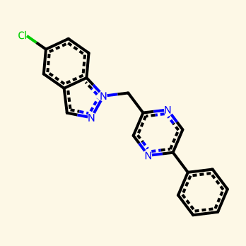 Clc1ccc2c(cnn2Cc2cnc(-c3ccccc3)cn2)c1